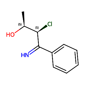 C[C@H](O)[C@@H](Cl)C(=N)c1ccccc1